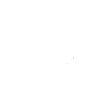 C\C=N/C=C(\C=C(/C)CC)n1ccnn1